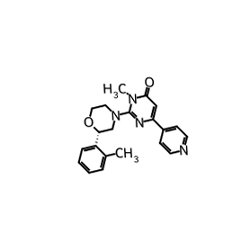 Cc1ccccc1[C@H]1CN(c2nc(-c3ccncc3)cc(=O)n2C)CCO1